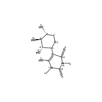 Cn1c(O)c(C2OC[C@@H](O)[C@H](O)[C@H]2O)c(=O)n(C)c1=O